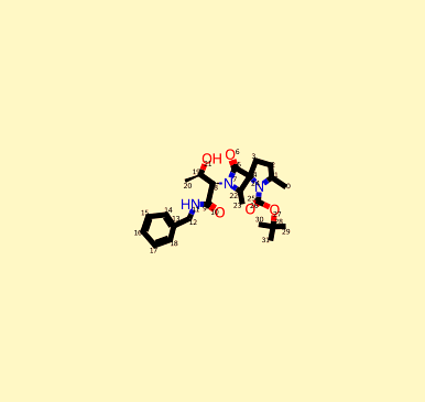 CC1CCC2(C(=O)N([C@H](C(=O)NCc3ccccc3)[C@@H](C)O)C2C)N1C(=O)OC(C)(C)C